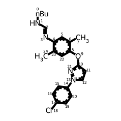 CCCCN/C=N/c1cc(C)c(Oc2ccn(-c3ccc(Cl)cc3)n2)cc1C